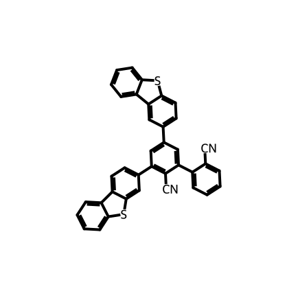 N#Cc1ccccc1-c1cc(-c2ccc3sc4ccccc4c3c2)cc(-c2ccc3c(c2)sc2ccccc23)c1C#N